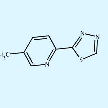 Cc1ccc(-c2nncs2)nc1